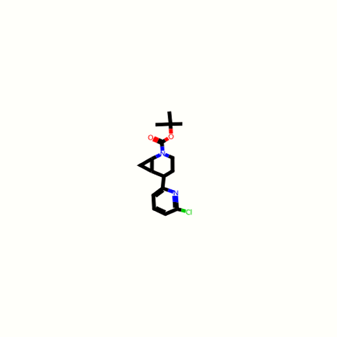 CC(C)(C)OC(=O)N1CCC(c2cccc(Cl)n2)C2CC21